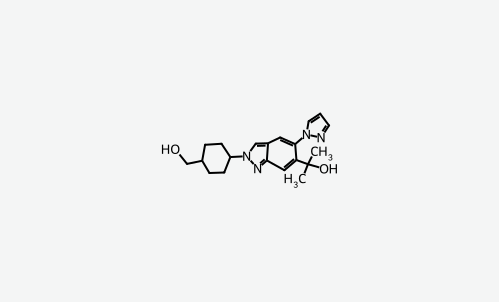 CC(C)(O)c1cc2nn(C3CCC(CO)CC3)cc2cc1-n1cccn1